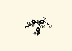 CCCC(=O)Nc1cccc(-c2nc(Nc3ccc4[nH]ncc4c3)c3cc(OCCCl)c(OC)cc3n2)c1